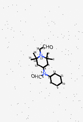 CC1(C)CC(N(C=O)C2CCCCC2)CC(C)(C)N1CC=O